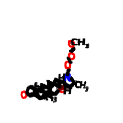 COCCOCCOCCN1C[C@@H](C)C[C@H]2O[C@@]34CC[C@H]5[C@@H]6CCC7=CC(=O)CC[C@]7(C)[C@H]6CC56CC63C[C@@H]4C21